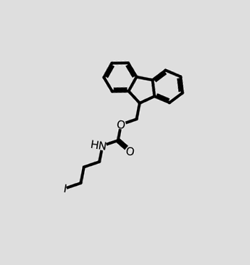 O=C(NCCCI)OCC1c2ccccc2-c2ccccc21